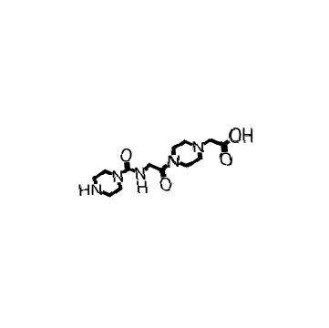 O=C(O)CN1CCN(C(=O)CNC(=O)N2CCNCC2)CC1